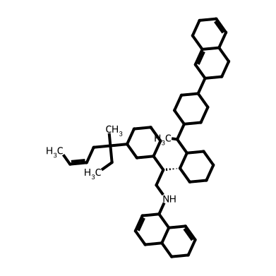 C/C=C\CC(C)(CC)C1CCCC(C(CNC2C=CCC3CCC=CC32)[C@H]2CCCCC2C(C)C2CCC(C3C=C4CCC=CC4CC3)CC2)C1